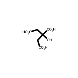 O=C(O)C(O)(C[14C](=O)O)C[14C](=O)O